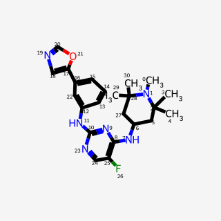 CN1C(C)(C)CC(Nc2nc(Nc3cccc(-c4cnco4)c3)ncc2F)CC1(C)C